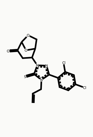 C=CCn1c(-c2ccc(Cl)cc2Cl)nn(C2CC(=O)C3OCC2O3)c1=S